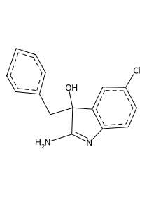 NC1=Nc2ccc(Cl)cc2C1(O)Cc1ccccc1